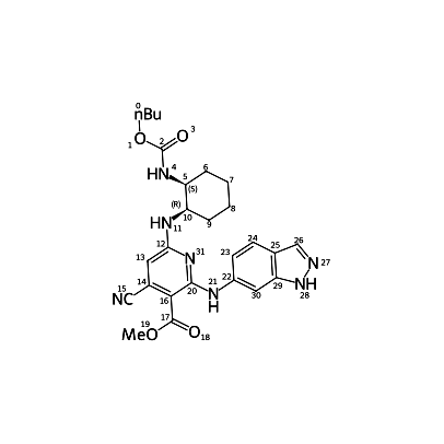 CCCCOC(=O)N[C@H]1CCCC[C@H]1Nc1cc(C#N)c(C(=O)OC)c(Nc2ccc3cn[nH]c3c2)n1